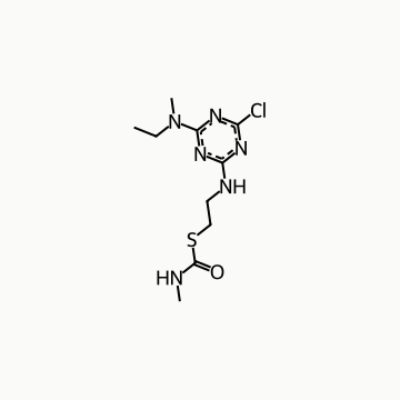 CCN(C)c1nc(Cl)nc(NCCSC(=O)NC)n1